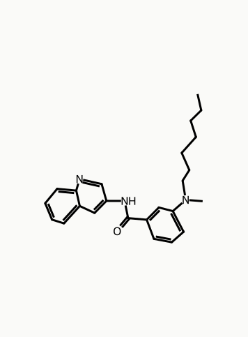 CCCCCCCN(C)c1cccc(C(=O)Nc2cnc3ccccc3c2)c1